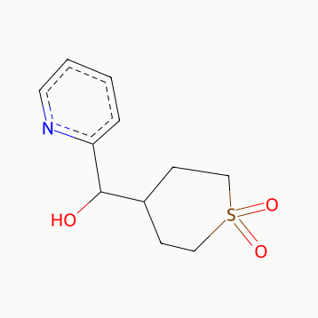 O=S1(=O)CCC(C(O)c2ccccn2)CC1